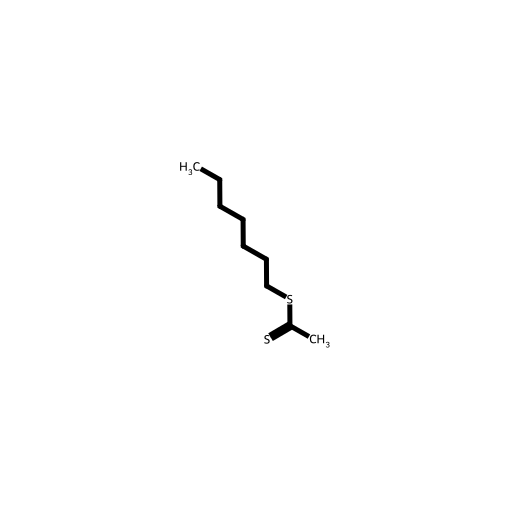 CCCCCCCSC(C)=S